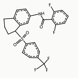 O=C(Nc1ccc2c(c1)C(S(=O)(=O)c1ccc(C(F)(F)F)cc1)CCC2)c1c(F)cccc1F